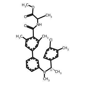 COC(=O)C(C)NC(=O)c1c(C)cc(-c2cccc(N(C)[C@@H](C)c3ccc(Cl)c(C)c3)c2)cc1C